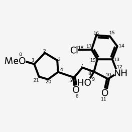 COC1CCC(C(=O)CC2(O)C(=O)Nc3cccc(Cl)c32)CC1